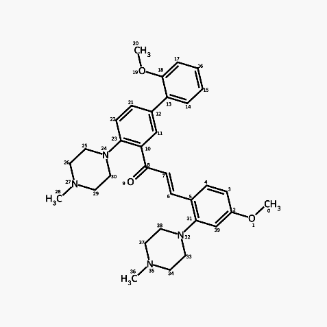 COc1ccc(/C=C/C(=O)c2cc(-c3ccccc3OC)ccc2N2CCN(C)CC2)c(N2CCN(C)CC2)c1